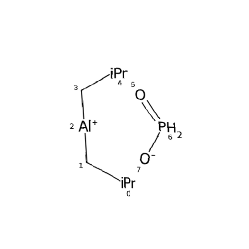 CC(C)[CH2][Al+][CH2]C(C)C.O=[PH2][O-]